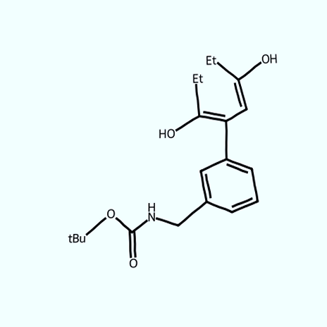 CC/C(O)=C(\C=C(\O)CC)c1cccc(CNC(=O)OC(C)(C)C)c1